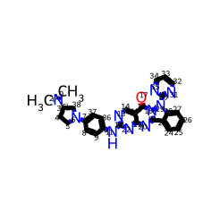 CN(C)[C@H]1CCN(c2ccc(Nc3ncc4c(=O)n5c(nc4n3)c3ccccc3n5-c3ncccn3)cc2)C1